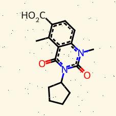 Cc1c(C(=O)O)ccc2c1c(=O)n(C1CCCC1)c(=O)n2C